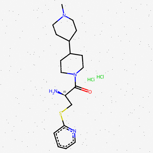 CN1CCC(C2CCN(C(=O)[C@H](N)CSc3ccccn3)CC2)CC1.Cl.Cl